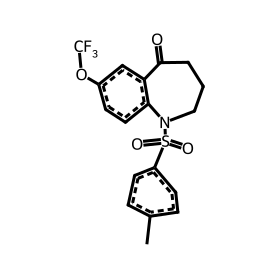 Cc1ccc(S(=O)(=O)N2CCCC(=O)c3cc(OC(F)(F)F)ccc32)cc1